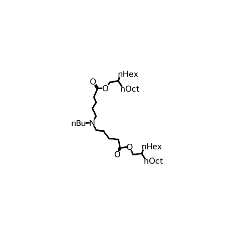 CCCCCCCCC(CCCCCC)COC(=O)CCCCN(CCCC)CCCCC(=O)OCC(CCCCCC)CCCCCCCC